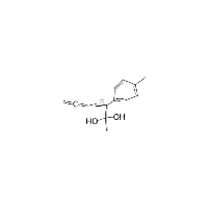 C=C=C/C=C(/c1ccc(C)cc1)C(C)(O)O